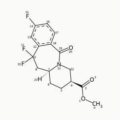 COC(=O)[C@H]1CC[C@H]2CC(F)(F)c3cc(F)ccc3C(=O)N2C1